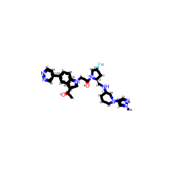 CC(=O)c1cn(CC(=O)N2CC(F)C[C@H]2CNC2CCCN(c3cnn(C)c3)C2)c2ccc(-c3ccnnc3)cc12